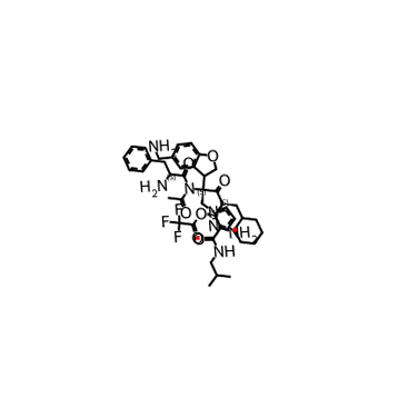 CC(=O)N(C(=O)[C@@H](N)Cc1ccccc1)[C@@](Cn1cccn1)(C(=O)[C@@H](CC1CCCCC1)[C@H](OC(=O)C(F)(F)F)C(N)C(=O)NCC(C)C)C1COc2ccc(CN)cc21